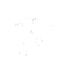 NC(CCN(Cc1ccccc1OCc1ccccc1F)Cc1ccccc1Oc1cccc(F)c1)C(=O)O